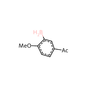 Bc1cc(C(C)=O)ccc1OC